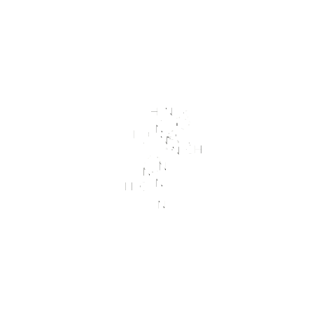 C=NCc1c(N)sc2c1[C@@](C)(c1nc(-c3ccnc(N4CCCN(CC5CC5)C[C@@H]4C)n3)no1)CCC2